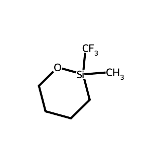 C[Si]1(C(F)(F)F)CCCCO1